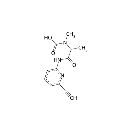 C#Cc1cccc(NC(=O)C(C)N(C)C(=O)O)n1